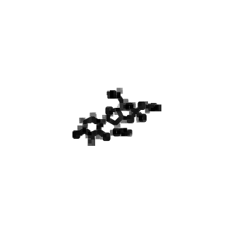 CO[C@H]1C(OP(=O)(O)OC(C)(C)C)[C@@H](CC(C)(C)C)O[C@H]1n1ccc(=O)[nH]c1=O